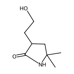 CC1(C)CC(CCO)C(=O)N1